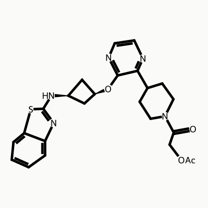 CC(=O)OCC(=O)N1CCC(c2nccnc2O[C@H]2C[C@@H](Nc3nc4ccccc4s3)C2)CC1